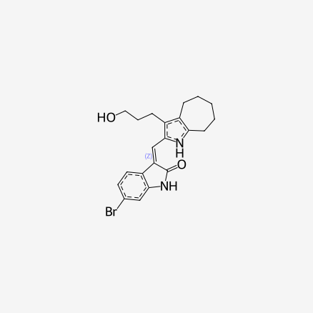 O=C1Nc2cc(Br)ccc2/C1=C/c1[nH]c2c(c1CCCO)CCCCC2